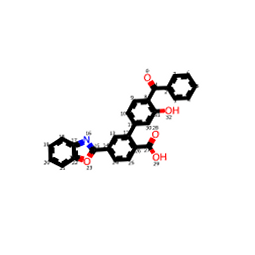 O=C(c1ccccc1)c1ccc(-c2cc(-c3nc4ccccc4o3)ccc2C(=O)O)cc1O